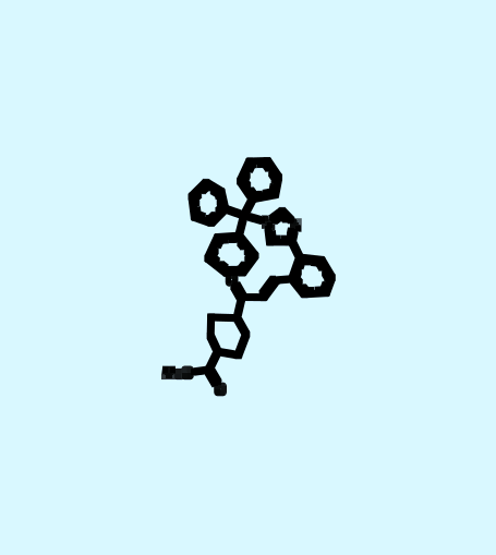 COC(=O)C1CCC(C(=O)/C=C/c2ccccc2-c2cn(C(c3ccccc3)(c3ccccc3)c3ccccc3)cn2)CC1